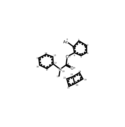 CC(=O)c1ccccc1OC(=O)N(C)c1ccccc1.c1cc2ccc1-2